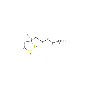 C[C@@]1(CCCCC(=O)O)CCSS1